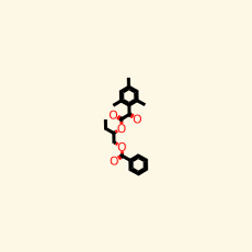 CCC(COC(=O)c1ccccc1)OC(=O)C(=O)c1c(C)cc(C)cc1C